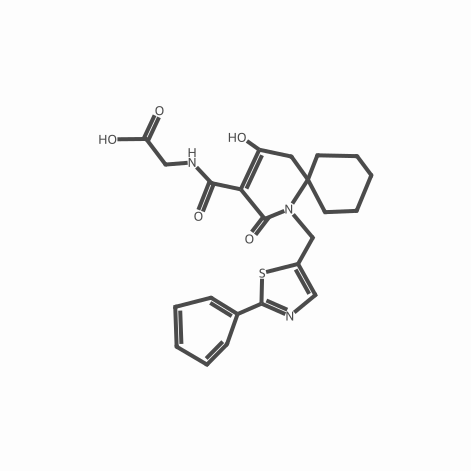 O=C(O)CNC(=O)C1=C(O)CC2(CCCCC2)N(Cc2cnc(-c3ccccc3)s2)C1=O